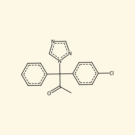 CC(=O)C(c1ccccc1)(c1ccc(Cl)cc1)n1cncn1